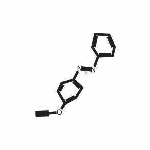 C#COc1ccc(/N=N/c2ccccc2)cc1